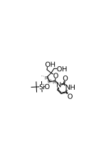 C[C@H]1[C@@H](O[Si](C)(C)C(C)(C)C)[C@H](n2ccc(=O)[nH]c2=O)OC1(CO)CO